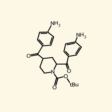 CC(C)(C)OC(=O)N1CCC(C(=O)c2ccc(N)cc2)CC1C(=O)c1ccc(N)cc1